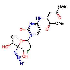 COC(=O)C[C@H](Nc1ccn([C@@H](CF)O[C@@](CO)(N=[N+]=[N-])[C@@H](C)O)c(=O)n1)C(=O)OC